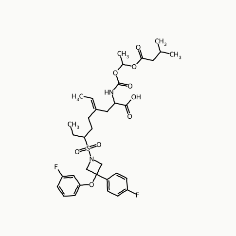 C/C=C(\CCC(CC)S(=O)(=O)N1CC(Oc2cccc(F)c2)(c2ccc(F)cc2)C1)CC(NC(=O)OC(C)OC(=O)CC(C)C)C(=O)O